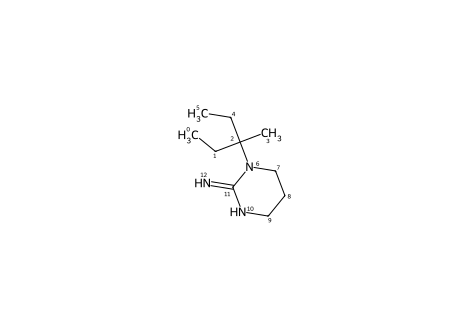 CCC(C)(CC)N1CCCNC1=N